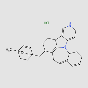 CC12C=CC(CC3CCC4C5=CNCC=C5N5C4=C3CC=C3C=CCCC35)(CC1)CC2.Cl